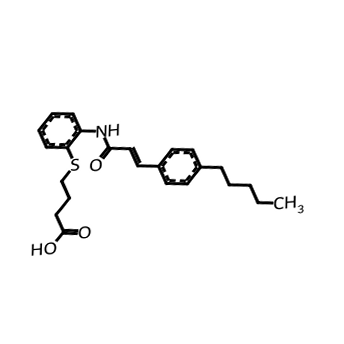 CCCCCc1ccc(C=CC(=O)Nc2ccccc2SCCCC(=O)O)cc1